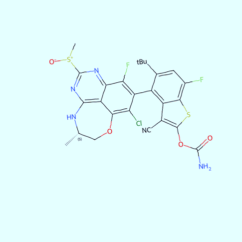 C[C@H]1COc2c(Cl)c(-c3c(C(C)(C)C)cc(F)c4sc(OC(N)=O)c(C#N)c34)c(F)c3nc([S+](C)[O-])nc(c23)N1